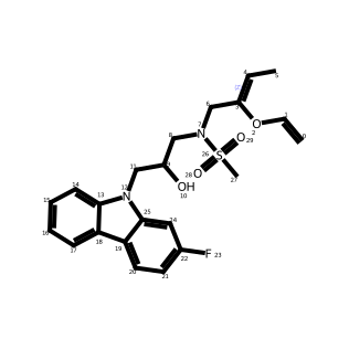 C=CO/C(=C\C)CN(CC(O)Cn1c2ccccc2c2ccc(F)cc21)S(C)(=O)=O